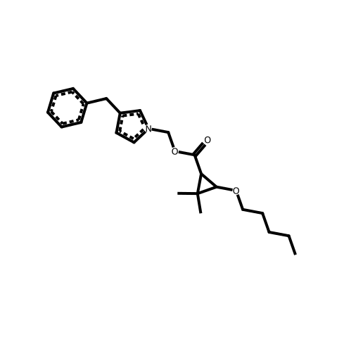 CCCCCOC1C(C(=O)OCn2ccc(Cc3ccccc3)c2)C1(C)C